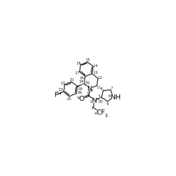 O=C(N(CC(F)(F)F)[C@H]1CCNC1)N1CCc2ccccc2[C@@H]1c1ccc(F)cc1